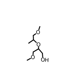 COCC(C)OC(CO)COC